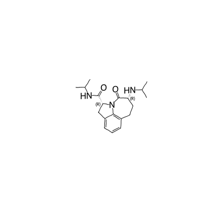 CC(C)NC(=O)[C@H]1Cc2cccc3c2N1C(=O)[C@H](NC(C)C)CC3